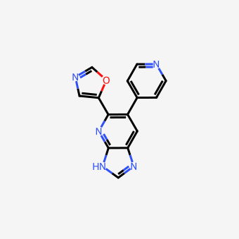 c1cc(-c2cc3nc[nH]c3nc2-c2cnco2)ccn1